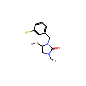 COC1CN(C)C(=O)N1Cc1cccc(S)c1